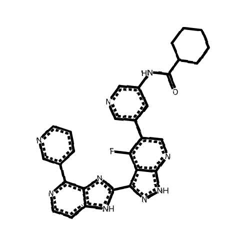 O=C(Nc1cncc(-c2cnc3[nH]nc(-c4nc5c(-c6cccnc6)nccc5[nH]4)c3c2F)c1)C1CCCCC1